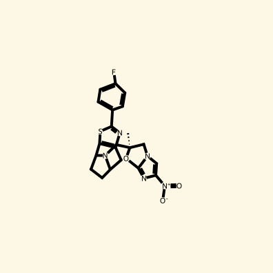 C[C@]1(CN2C3CCC2c2sc(-c4ccc(F)cc4)nc2C3)Cn2cc([N+](=O)[O-])nc2O1